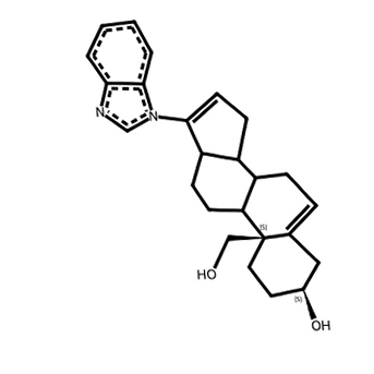 OC[C@]12CC[C@H](O)CC1=CCC1C3CC=C(n4cnc5ccccc54)C3CCC12